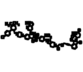 CC1(C)CCC(CN2CCN(c3ccc(C(=O)NS(=O)(=O)c4ccc(NCC5CCN(C(=O)COCC#Cc6cccc7c6C(=O)N(C6CCC(=O)NC6=O)C7=O)CC5)c([N+](=O)[O-])c4)c(Oc4cnc5[nH]ccc5c4)c3)CC2)=C(c2ccc(Cl)cc2)C1